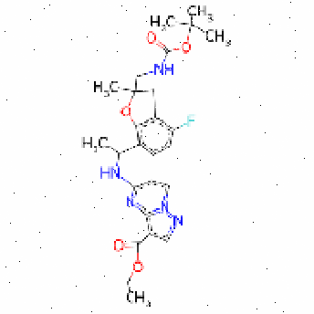 CCOC(=O)c1cnn2ccc(NC(C)c3ccc(F)c4c3OC(C)(CNC(=O)OC(C)(C)C)C4)nc12